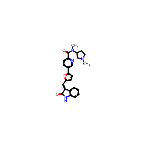 CN1CCC(N(C)C(=O)c2ccc(-c3ccc(/C=C4/C(=O)Nc5ccccc54)o3)cn2)C1